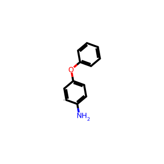 Nc1[c]cc(Oc2ccccc2)cc1